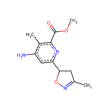 COC(=O)c1nc(C2CC(C)=NO2)cc(N)c1C